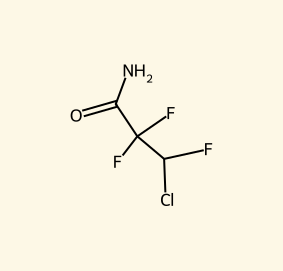 NC(=O)C(F)(F)C(F)Cl